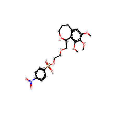 COc1cc2c(c(OC)c1OC)C(COCCOS(=O)(=O)c1ccc([N+](=O)[O-])cc1)OCCC2